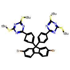 CC(C)(C)Sc1nc(SC(C)(C)C)nc(-c2ccc(C3(c4ccc(-c5nc(SC(C)(C)C)nc(SC(C)(C)C)n5)cc4)c4cc(Br)ccc4-c4ccc(Br)cc43)cc2)n1